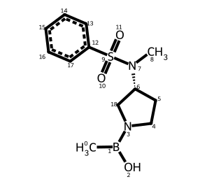 CB(O)N1CC[C@@H](N(C)S(=O)(=O)c2ccccc2)C1